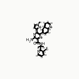 Cn1ccc(-c2nc(N)c(C(=O)NC(C)(C)c3ncccc3F)nc2-c2ccc3ncccc3c2)n1